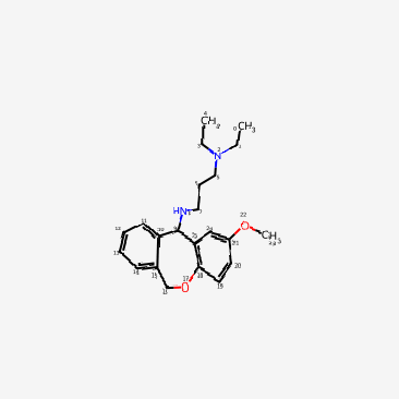 CCN(CC)CCCNC1c2ccccc2COc2ccc(OC)cc21